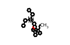 C\C=C/C=C1\C(=C2/C=c3ccc(-c4nc(-c5cccc(-c6ccccc6)c5)nc(-c5cccc(-c6ccccc6)c5)n4)cc3=CC2C)C2(c3ccccc31)c1ccccc1-c1ccccc12